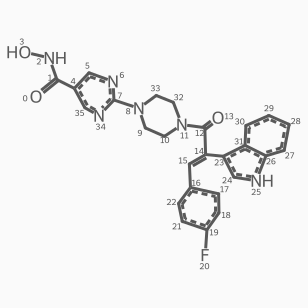 O=C(NO)c1cnc(N2CCN(C(=O)C(=Cc3ccc(F)cc3)c3c[nH]c4ccccc34)CC2)nc1